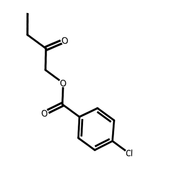 CCC(=O)COC(=O)c1ccc(Cl)cc1